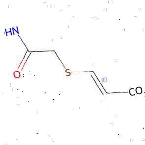 [NH]C(=O)CS/C=C/C(=O)O